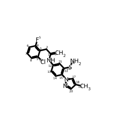 C=C(Cc1c(F)cccc1Cl)Nc1ccc(-n2cc(C)cn2)c(SN)c1